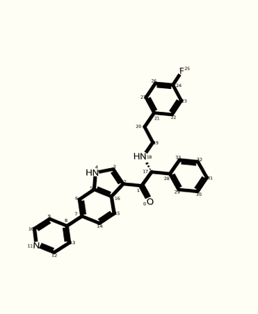 O=C(c1c[nH]c2cc(-c3ccncc3)ccc12)[C@H](NCCc1ccc(F)cc1)c1ccccc1